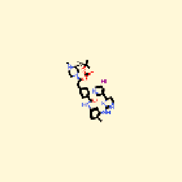 CCC(C)(C)OC(=O)OC(Cc1ccc(C(=O)Nc2ccc(C)c(Nc3nccc(-c4cccnc4)n3)c2)cc1)N1CCN(C)CC1.I